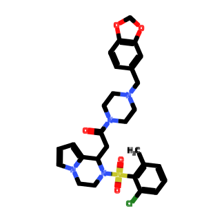 Cc1cccc(Cl)c1S(=O)(=O)N1CCn2cccc2C1CC(=O)N1CCN(Cc2ccc3c(c2)OCO3)CC1